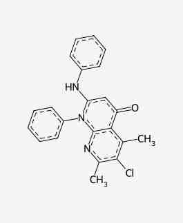 Cc1nc2c(c(C)c1Cl)c(=O)cc(Nc1ccccc1)n2-c1ccccc1